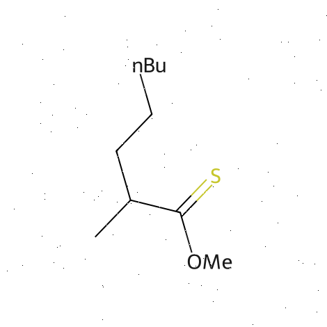 CCCCCCC(C)C(=S)OC